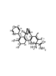 CC1=C(F)C(N)(C(N)=O)NC(C2=C(C(F)(F)F)C(C3C=COC=N3)=C(F)C(F)C2)=C1C#N